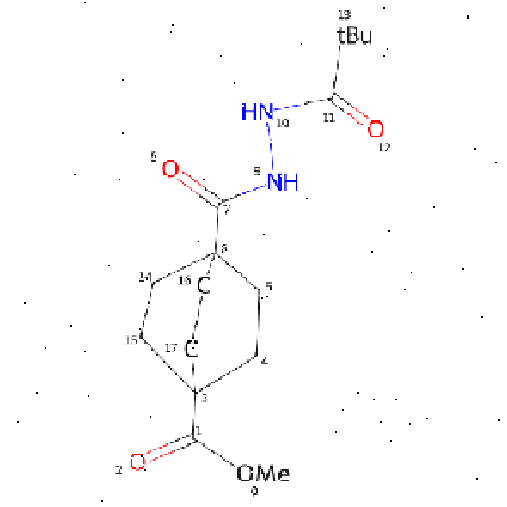 COC(=O)C12CCC(C(=O)NNC(=O)C(C)(C)C)(CC1)CC2